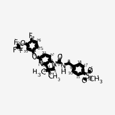 CC1(C)CN(C(=O)NCc2ccc(S(C)(=O)=O)cc2)c2ccc(Oc3ccc(F)c(OC(F)(F)F)c3)nc21